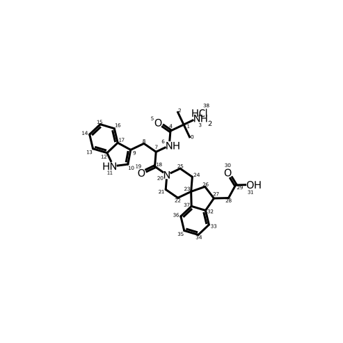 CC(C)(N)C(=O)NC(Cc1c[nH]c2ccccc12)C(=O)N1CCC2(CC1)CC(CC(=O)O)c1ccccc12.Cl